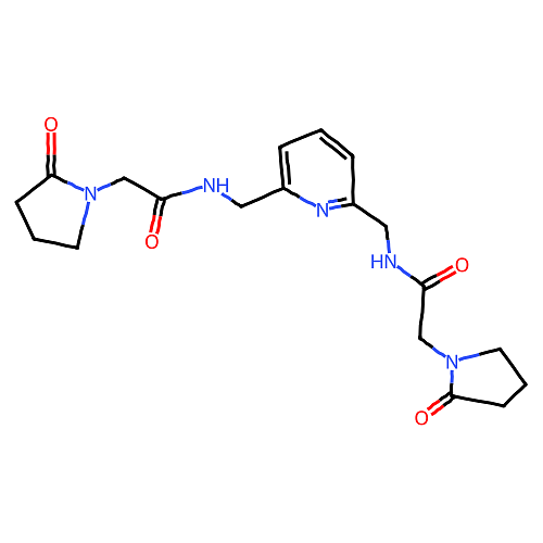 O=C(CN1CCCC1=O)NCc1cccc(CNC(=O)CN2CCCC2=O)n1